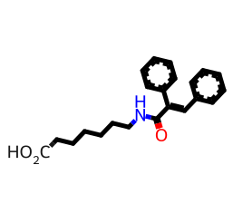 O=C(O)CCCCCCNC(=O)C(=Cc1ccccc1)c1ccccc1